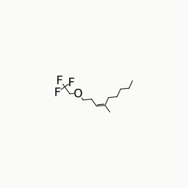 CCCCC/C(C)=C\CCOCC(F)(F)F